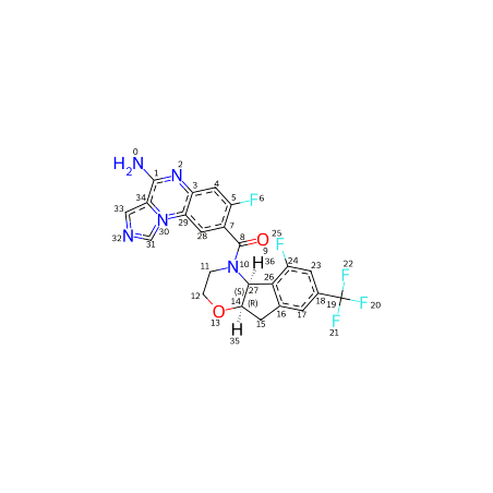 Nc1nc2cc(F)c(C(=O)N3CCO[C@@H]4Cc5cc(C(F)(F)F)cc(F)c5[C@@H]43)cc2n2cncc12